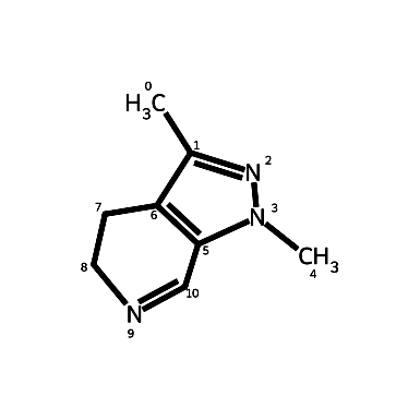 Cc1nn(C)c2c1CCN=C2